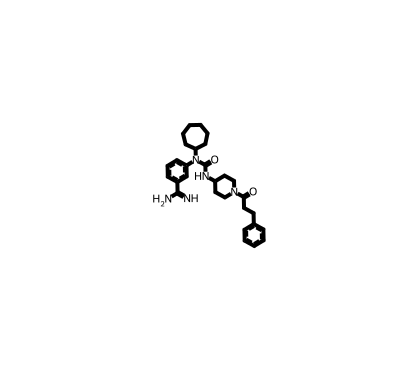 N=C(N)c1cccc(N(C(=O)NC2CCN(C(=O)CCc3ccccc3)CC2)C2CCCCCC2)c1